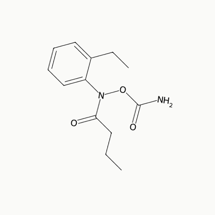 CCCC(=O)N(OC(N)=O)c1ccccc1CC